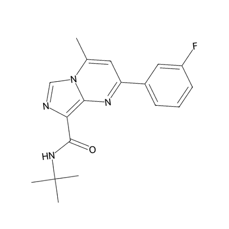 Cc1cc(-c2cccc(F)c2)nc2c(C(=O)NC(C)(C)C)ncn12